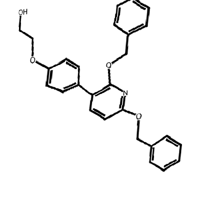 OCCOc1ccc(-c2ccc(OCc3ccccc3)nc2OCc2ccccc2)cc1